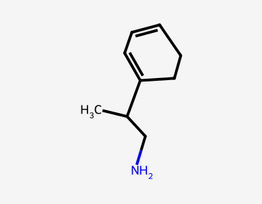 CC(CN)C1=CC=CCC1